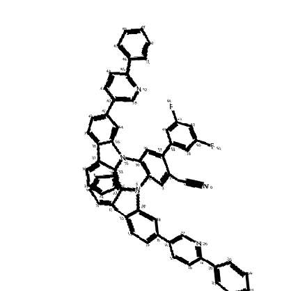 N#Cc1cc(-n2c3ccccc3c3ccc(-c4ccc(-c5ccccc5)nc4)cc32)c(-n2c3ccccc3c3ccc(-c4ccc(-c5ccccc5)nc4)cc32)cc1-c1cc(F)cc(F)c1